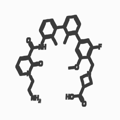 COc1cc(-c2cccc(-c3cccc(NC(=O)c4cccn(CCN)c4=O)c3C)c2C)cc(F)c1CN1CC(C(=O)O)C1